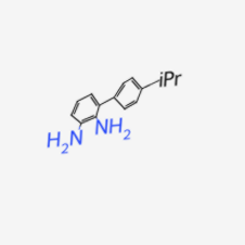 CC(C)c1ccc(-c2cccc(N)c2N)cc1